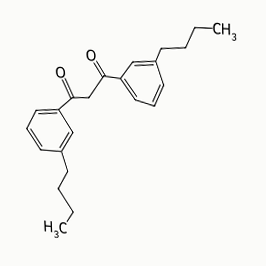 CCCCc1cccc(C(=O)CC(=O)c2cccc(CCCC)c2)c1